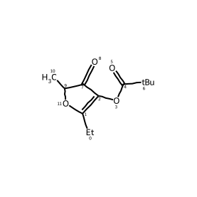 CCC1=C(OC(=O)C(C)(C)C)C(=O)C(C)O1